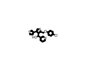 OC(c1cccnc1)c1c(-c2ccsc2)csc1COc1ccc(Cl)cc1